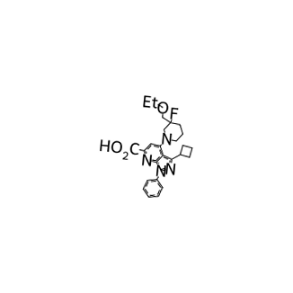 CCOCC1(F)CCCN(c2cc(C(=O)O)nc3c2c(C2CCC2)nn3-c2ccccc2)C1